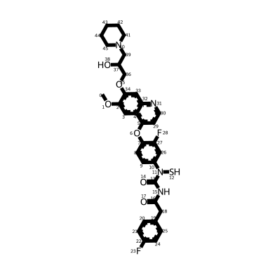 COc1cc2c(Oc3ccc(N(S)C(=O)NC(=O)Cc4ccc(F)cc4)cc3F)ccnc2cc1OCC(O)CN1CCCCC1